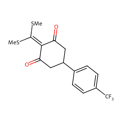 CSC(SC)=C1C(=O)CC(c2ccc(C(F)(F)F)cc2)CC1=O